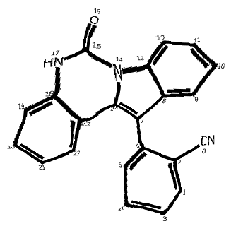 N#Cc1ccccc1-c1c2ccccc2n2c(=O)[nH]c3ccccc3c12